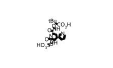 CC(C)(C)C(ONC(=O)[C@@H]1CC[C@@H]2CN1C(=O)N2OS(=O)(=O)O)C(=O)O.c1ccncc1